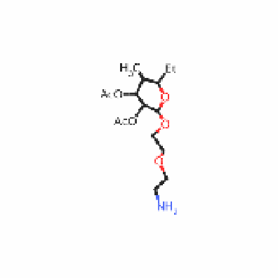 CCC1OC(OCCOCCN)C(OC(C)=O)C(OC(C)=O)C1C